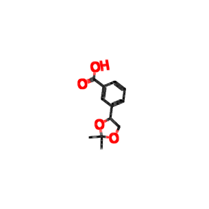 CC1(C)OCC(c2cccc(C(=O)O)c2)O1